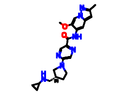 COc1cn2nc(C)cc2cc1NC(=O)c1cnc(N2CC[C@H](CNC3CC3)C2)cn1